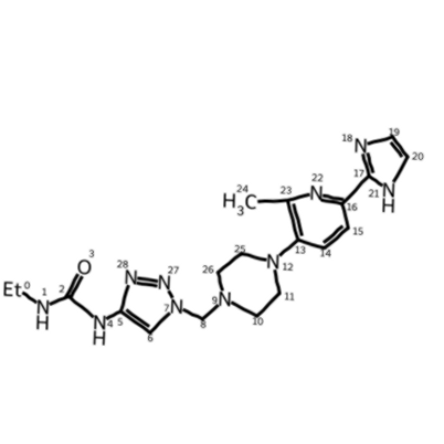 CCNC(=O)Nc1cn(CN2CCN(c3ccc(-c4ncc[nH]4)nc3C)CC2)nn1